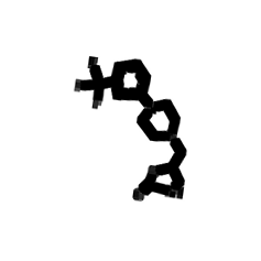 O=C1NCC(CN2CCN(c3cccc(C(F)(F)F)c3)CC2)O1